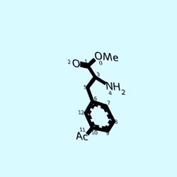 COC(=O)C(N)Cc1cccc(C(C)=O)c1